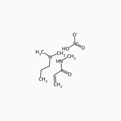 C=CC(=O)NC.CCCN(C)C.O=[N+]([O-])O